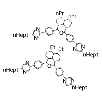 CCCCCCCc1cnc(-c2ccc(C(OC(c3ccc(-c4cnc(CCCCCCC)cn4)cc3)[C@H]3CC[C@H](CC)CC3)[C@H]3CC[C@H](CC)CC3)cc2)cn1.CCCCCCCc1cnc(-c2ccc(C(OC(c3ccc(-c4cnc(CCCCCCC)cn4)cc3)[C@H]3CC[C@H](CCC)CC3)[C@H]3CC[C@H](CCC)CC3)cc2)cn1